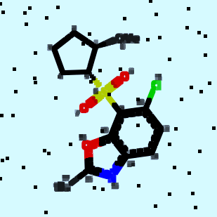 CO[C@@H]1CCC[C@H]1S(=O)(=O)c1c(Cl)ccc2nc(C(C)(C)C)oc12